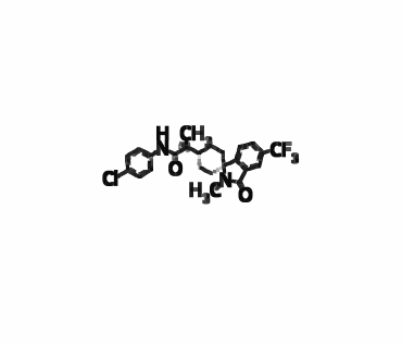 C[C@H](C(=O)Nc1ccc(Cl)cc1)[C@H]1CC[C@]2(CC1)c1ccc(C(F)(F)F)cc1C(=O)N2C